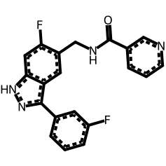 O=C(NCc1cc2c(-c3cccc(F)c3)n[nH]c2cc1F)c1cccnc1